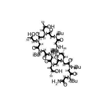 CC[C@@H](C)NCC(=O)N(CC(=O)N(CC(=O)N(CC(=O)N(CC(=O)N(CC(=O)N(CC(=O)N(CC(=O)N(CC(=O)N(CC(N)=O)[C@H](C)CC)[C@H](C)CC)C[C@@H](C)O)C[C@@H](C)O)[C@H](C)CC)[C@H](C)CC)C[C@@H](C)O)C[C@@H](C)O)[C@H](C)CC